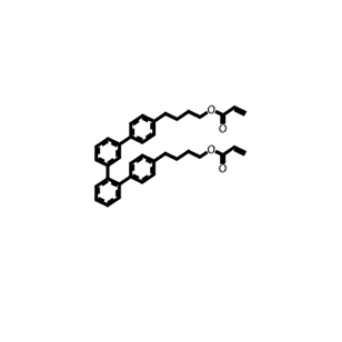 C=CC(=O)OCCCCc1ccc(-c2cccc(-c3ccccc3-c3ccc(CCCCOC(=O)C=C)cc3)c2)cc1